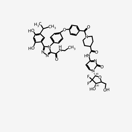 CCNC(=O)c1nnc(-c2cc(C(C)C)c(O)cc2O)n1-c1ccc(Oc2ccc(C(=O)N3CCC(C(=O)Nc4ccn([C@@H]5OC(CO)[C@@H](O)C5(F)F)c(=O)n4)CC3)cc2)cc1